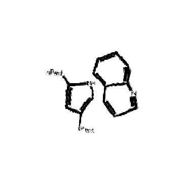 CCCCCc1c[nH]c(CCCCC)c1.c1ccc2ncccc2c1